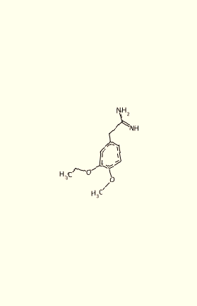 CCOc1cc(CC(=N)N)ccc1OC